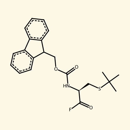 CC(C)(C)SC[C@H](NC(=O)OCC1c2ccccc2-c2ccccc21)C(=O)F